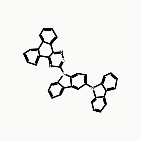 c1ccc2c(c1)c1ccccc1c1nc(-n3c4ccccc4c4cc(-n5c6ccccc6c6ccccc65)ccc43)nnc21